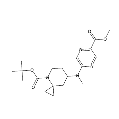 COC(=O)c1cnc(N(C)C2CCN(C(=O)OC(C)(C)C)C3(CC3)C2)cn1